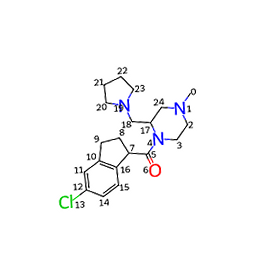 CN1CCN(C(=O)C2CCc3cc(Cl)ccc32)C(CN2CCCC2)C1